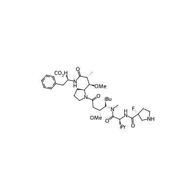 CC[C@H](C)[C@@H]([C@@H](CC(=O)N1CCC[C@H]1[C@H](OC)[C@@H](C)C(=O)N[C@@H](Cc1ccccc1)C(=O)O)OC)N(C)C(=O)[C@@H](NC(=O)[C@@]1(F)CCNC1)C(C)C